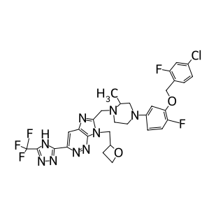 CC1CN(c2ccc(F)c(OCc3ccc(Cl)cc3F)c2)CCN1Cc1nc2cc(-c3nnc(C(F)(F)F)[nH]3)nnc2n1CC1CCO1